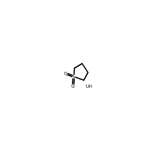 O=S1(=O)CCCC1.[LiH]